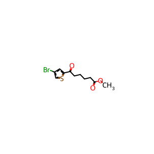 COC(=O)CCCCC(=O)c1cc(Br)cs1